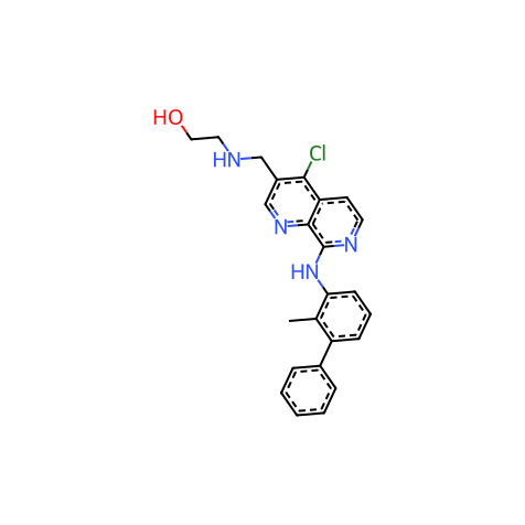 Cc1c(Nc2nccc3c(Cl)c(CNCCO)cnc23)cccc1-c1ccccc1